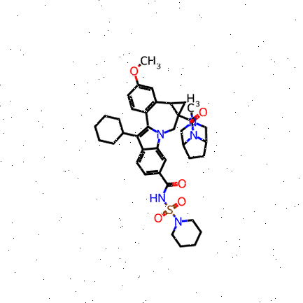 COc1ccc2c(c1)C1CC1(C(=O)N1C3CCC1CN(C)C3)Cn1c-2c(C2CCCCC2)c2ccc(C(=O)NS(=O)(=O)N3CCCCC3)cc21